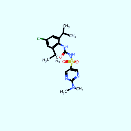 CC(C)c1cc(Cl)cc(C(C)C)c1NC(=O)NS(=O)(=O)c1cnc(N(C)C)nc1